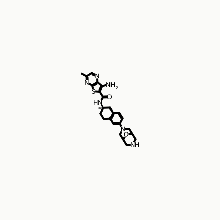 Cc1cnc2c(N)c(C(=O)N[C@@H]3CCc4cc(N5CC6CNCC(C5)O6)ccc4C3)sc2n1